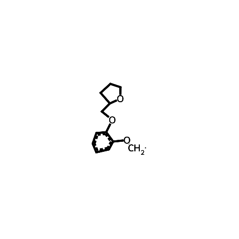 [CH2]Oc1ccccc1OCC1CCCO1